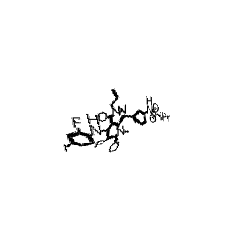 C=CCn1nc(-c2cccc(NS(=O)(=O)C(C)C)c2)c2c(c(Nc3ccc(I)cc3F)c(F)c(=O)n2C)c1=O